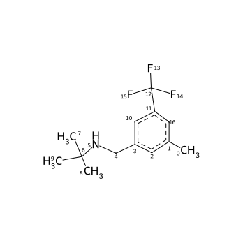 Cc1cc(CNC(C)(C)C)cc(C(F)(F)F)c1